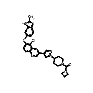 Cc1nc2ccc(Oc3ccc4ncc(-c5cnn(C6CCN(C(=O)N7CCC7)CC6)c5)nc4c3Cl)cc2[nH]1